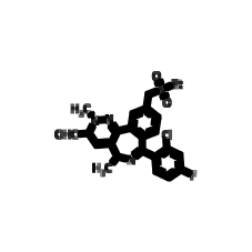 CCS(=O)(=O)Cc1ccc2c(c1)C1=NN(C)C(C=O)C=C1C(C)N=C2c1ccc(F)cc1Cl